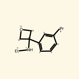 CCNC1(c2cccc(C(C)C)c2)COC1